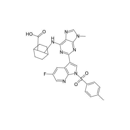 Cc1ccc(S(=O)(=O)n2cc(-c3nc(NC4C5CCC(CC5)C4C(=O)O)c4ncn(C)c4n3)c3cc(F)cnc32)cc1